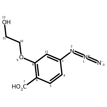 [N-]=[N+]=Nc1ccc(C(=O)O)c(OCCO)c1